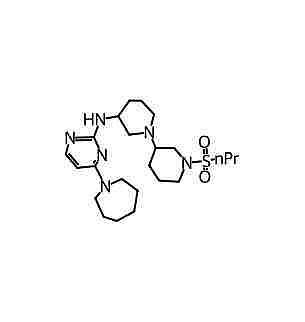 CCCS(=O)(=O)N1CCCC(N2CCCC(Nc3nccc(N4CCCCCC4)n3)C2)C1